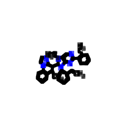 C=Cc1ccccc1N1c2nc(-c3ccccc3C)ncc2N(C)C1C1C(C)c2ccccc2N2C=CN(C)C12